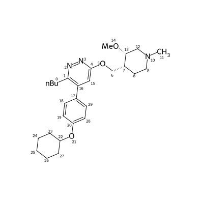 CCCCc1nnc(OC[C@H]2CCN(C)C[C@H]2OC)cc1-c1ccc(OC2CCCCC2)cc1